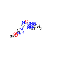 C=C(/N=C\NCNC(=O)c1cc(CN2CCC[C@@H](NC(=O)OC(C)(C)C)C2)ccn1)NCC